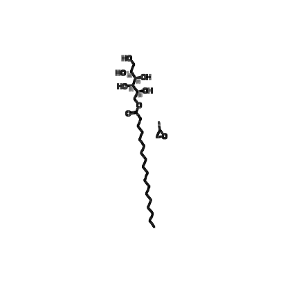 CC1CO1.CCCCCCCCCCCCCCCCCC(=O)OC[C@H](O)[C@@H](O)[C@H](O)[C@H](O)CO